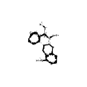 CCCN([C@H]1CCc2c(cccc2OC)C1)[C@H](CO)c1ccccc1